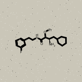 CC(C)OC(C(=O)NCCc1cccc(F)c1)[C@H](N)CC1CCCCC1